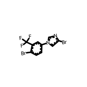 FC(F)(F)c1cc(-n2cnc(Br)c2)ccc1Br